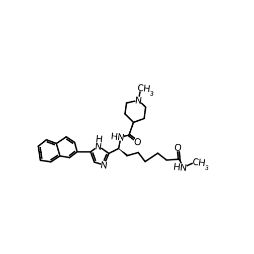 CNC(=O)CCCCC[C@H](NC(=O)C1CCN(C)CC1)c1ncc(-c2ccc3ccccc3c2)[nH]1